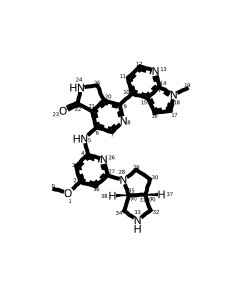 COc1cc(Nc2cnc(-c3ccnc4c3ccn4C)c3c2C(=O)NC3)nc(N2CC[C@@H]3CNC[C@@H]32)c1